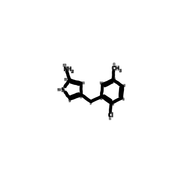 Cc1ccc(Cl)c(Cc2csc(N)c2)c1